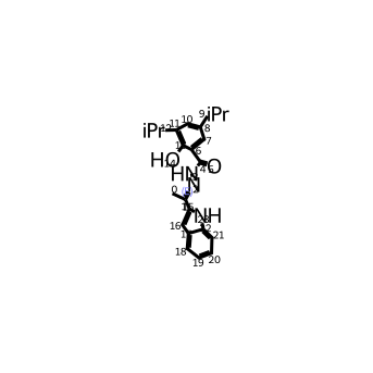 C/C(=N\NC(=O)c1cc(C(C)C)cc(C(C)C)c1O)c1cc2ccccc2[nH]1